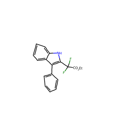 CCOC(=O)C(F)(F)c1[nH]c2ccccc2c1-c1ccccc1